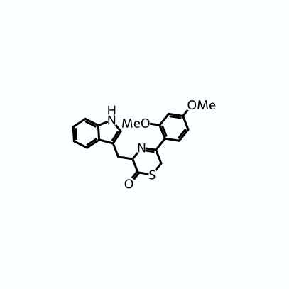 COc1ccc(C2=NC(Cc3c[nH]c4ccccc34)C(=O)SC2)c(OC)c1